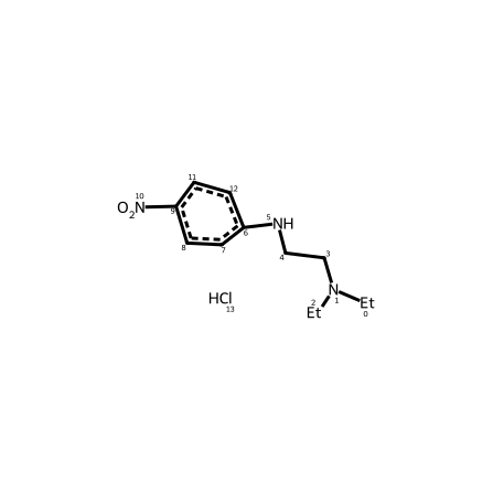 CCN(CC)CCNc1ccc([N+](=O)[O-])cc1.Cl